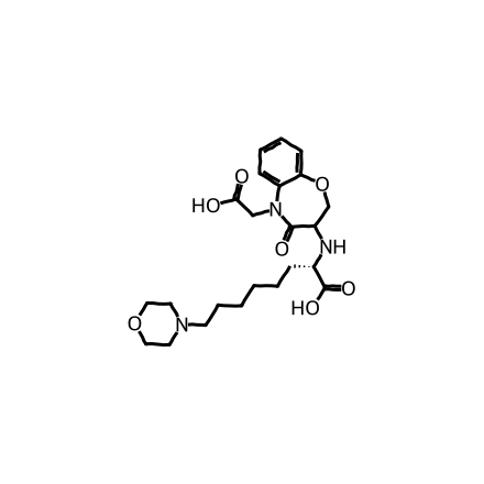 O=C(O)CN1C(=O)C(N[C@@H](CCCCCCN2CCOCC2)C(=O)O)COc2ccccc21